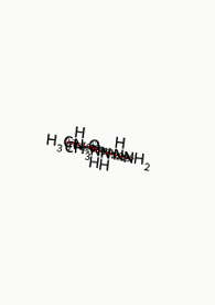 CC(C)CCNCCCCCC(=O)NCCCNCCCCNCCCN